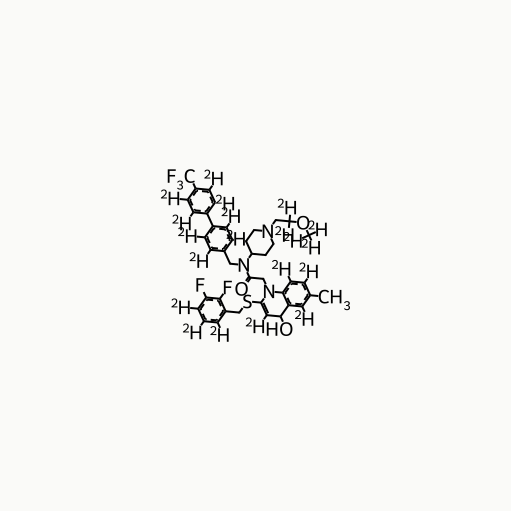 [2H]C1=C(SCc2c([2H])c([2H])c([2H])c(F)c2F)N(CC(=O)N(Cc2c([2H])c([2H])c(-c3c([2H])c([2H])c(C(F)(F)F)c([2H])c3[2H])c([2H])c2[2H])C2CCN(CC([2H])([2H])OC([2H])([2H])[2H])CC2)c2c([2H])c([2H])c(C)c([2H])c2C1O